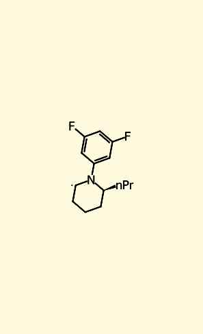 CCC[C@H]1CCC[CH]N1c1cc(F)cc(F)c1